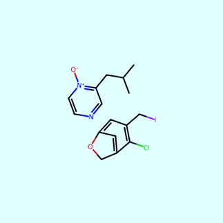 CC(C)Cc1cncc[n+]1[O-].Clc1c(CI)cc2cc1CO2